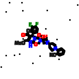 COCC1=C(C(=O)OC)[C@H](c2ccc(F)c(F)c2)N(C(=O)N(C)C2(O)CN(C3CCN(c4ccccc4C#N)CC3)C2)C(=O)N1